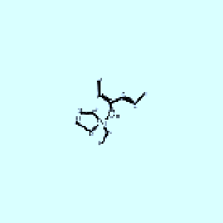 C/C=C/C(=C\C)O[Si](CC)(CC)CC